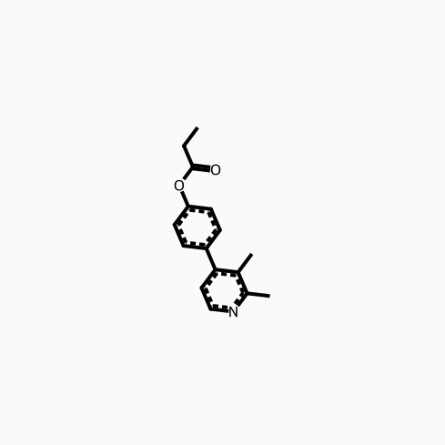 CCC(=O)Oc1ccc(-c2ccnc(C)c2C)cc1